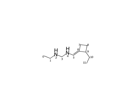 CCNCN/C=C1\CCC1CC